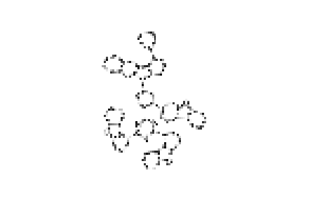 c1ccc(-c2cccc3c2c2cc4ccccc4cc2n3-c2ccc(-c3nc(-c4cccc5oc6ccccc6c45)nc(-c4cccc5oc6ccccc6c45)n3)c(-c3ccc4c(c3)oc3ccccc34)c2)cc1